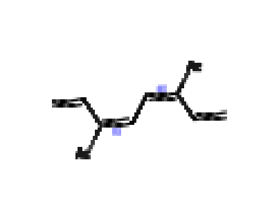 C=C/C(=C\C=C(/C=C)C(C)=O)C(C)=O